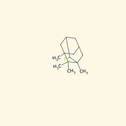 CC12CC3CC(C1)C(F)C(C)(C3)C2(C)C